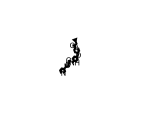 O=C(CC1CC1)N1CCC(Oc2ccc(NC(=O)N3CC(c4cccnc4)C3)cc2)CC1